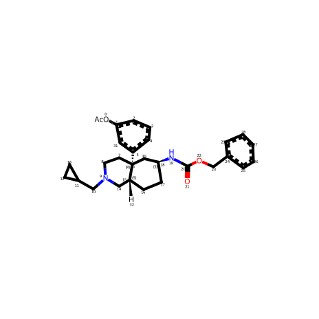 CC(=O)Oc1cccc([C@@]23CCN(CC4CC4)C[C@H]2CC[C@H](NC(=O)OCc2ccccc2)C3)c1